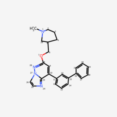 CN1CCCC(COc2cc(-c3cccc(-c4ccccc4)c3)c3nccn3n2)C1